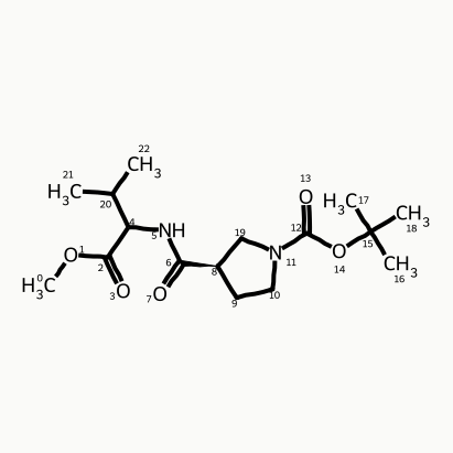 COC(=O)C(NC(=O)[C@@H]1CCN(C(=O)OC(C)(C)C)C1)C(C)C